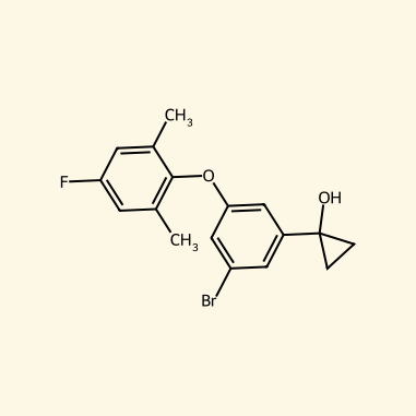 Cc1cc(F)cc(C)c1Oc1cc(Br)cc(C2(O)CC2)c1